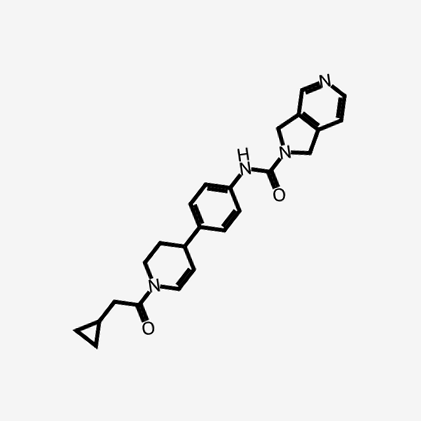 O=C(CC1CC1)N1C=CC(c2ccc(NC(=O)N3Cc4ccncc4C3)cc2)CC1